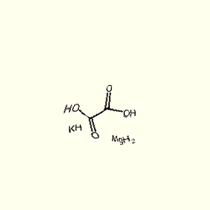 O=C(O)C(=O)O.[KH].[MgH2]